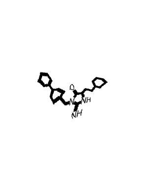 N=C1NC(CCC2CCCCC2)C(=O)N1Cc1ccc(-c2ccccc2)cc1